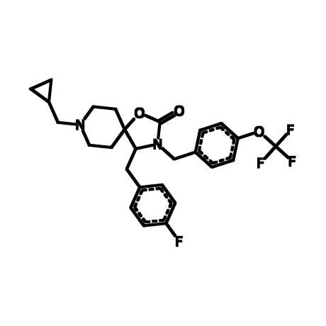 O=C1OC2(CCN(CC3CC3)CC2)C(Cc2ccc(F)cc2)N1Cc1ccc(OC(F)(F)F)cc1